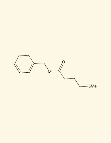 CSCC[CH]C(=O)OCc1ccccc1